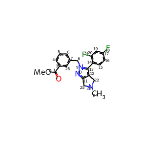 COC(=O)c1cccc(Cn2nc3c(c2-c2ccc(F)cc2F)CN(C)C3)c1